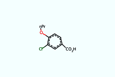 CCCOc1ccc(C(=O)O)cc1Cl